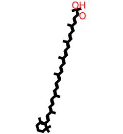 CC1=C(/C=C/C(C)=C/C=C/C(C)=C/C=C/C=C(C)/C=C/C=C(C)/C=C/C=C(C)/C=C/C=C(C)/C=C/C(=O)C(C)(C)O)C(C)(C)CCC1